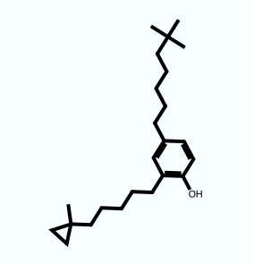 CC(C)(C)CCCCCc1ccc(O)c(CCCCCC2(C)CC2)c1